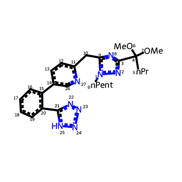 CCCCCn1nc(C(CCC)(OC)OC)nc1Cc1ccc(-c2ccccc2-c2nnn[nH]2)cn1